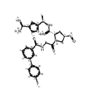 C[C@@H](NC(=N)[C@@H]1C[C@@H]([S+]=O)CN1C(=O)CNC(=O)c1cccc(-c2ccc(F)cc2)c1)c1cc(C(=N)N)cs1